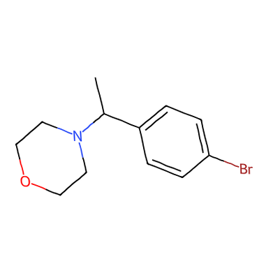 CC(c1ccc(Br)cc1)N1CCOCC1